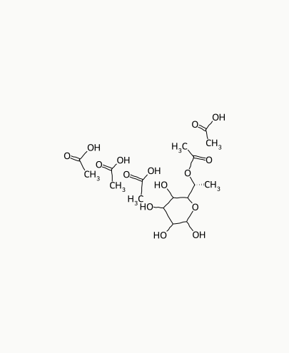 CC(=O)O.CC(=O)O.CC(=O)O.CC(=O)O.CC(=O)O[C@H](C)C1OC(O)C(O)C(O)C1O